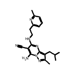 Cc1cccc(CCNc2nc3c(CC(C)C)c(C)nn3c(N)c2C#N)n1